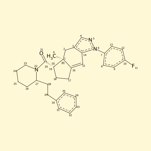 C[C@]12Cc3cnn(-c4ccc(F)cc4)c3C=C1CC[C@@H]2C(=O)N1CCCCC1CCc1ccccc1